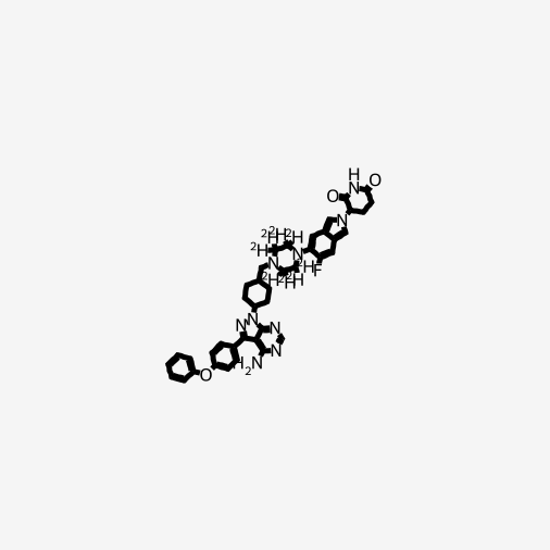 [2H]C1([2H])N(CC2CCC(n3nc(-c4ccc(Oc5ccccc5)cc4)c4c(N)ncnc43)CC2)C([2H])([2H])C([2H])([2H])N(c2cc3cn(C4CCC(=O)NC4=O)cc3cc2F)C1([2H])[2H]